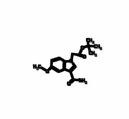 COc1ccc2c(c1)c(C(N)=O)cn2CC(=O)OC(C)(C)C